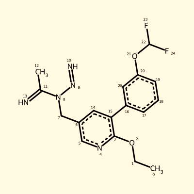 CCOc1ncc(CN(N=N)C(C)=N)cc1-c1cccc(OC(F)F)c1